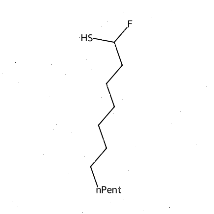 CCCCCCCCCCCC(F)S